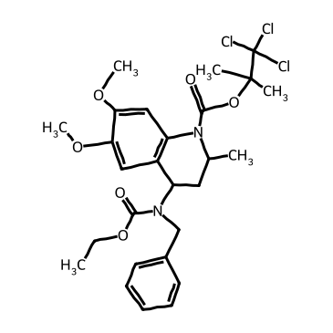 CCOC(=O)N(Cc1ccccc1)C1CC(C)N(C(=O)OC(C)(C)C(Cl)(Cl)Cl)c2cc(OC)c(OC)cc21